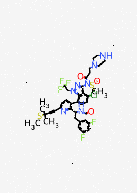 CSC(C)(C)C#Cc1ccc(-c2ccc(Cl)c3c(N(C(=O)CCN4CCNCC4)[S+](C)[O-])nn(CC(F)(F)F)c23)c(C(Cc2cc(F)cc(F)c2)NC=O)n1